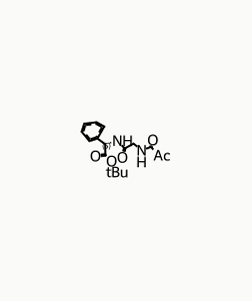 CC(=O)C(=O)NCC(=O)N[C@H](C(=O)OC(C)(C)C)c1ccccc1